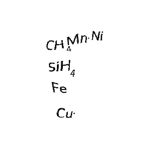 C.[Cu].[Fe].[Mn].[Ni].[SiH4]